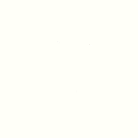 N#CCc1cc(CCC(=O)O)ccc1C#N